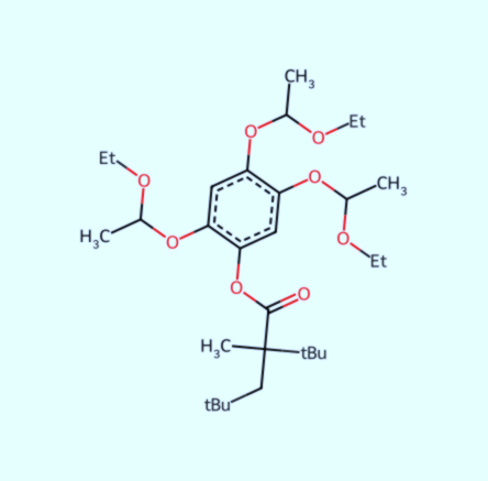 CCOC(C)Oc1cc(OC(C)OCC)c(OC(C)OCC)cc1OC(=O)C(C)(CC(C)(C)C)C(C)(C)C